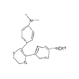 CCCCCCCCc1ccc(C2=C(c3ccc(N(C)C)cc3)SCCO2)cc1